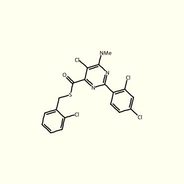 CNc1nc(-c2ccc(Cl)cc2Cl)nc(C(=O)SCc2ccccc2Cl)c1Cl